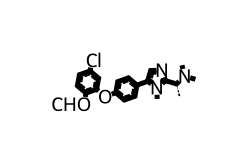 C[C@H](c1ncc(-c2ccc(Oc3cc(Cl)ccc3C=O)cc2)n1C)N(C)C